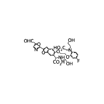 O=Cc1cnc(-c2cc3cc(OCCOc4cc(F)ccc4N(CCO)CC(=O)O)c(C(NCCO)C(=O)O)cc3o2)o1